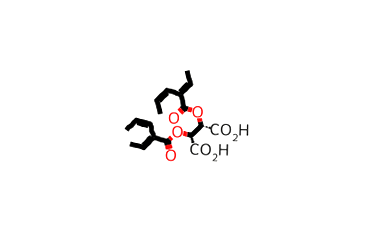 C/C=C\C(=C/C)C(=O)O[C@H](C(=O)O)[C@H](OC(=O)C(/C=C\C)=C/C)C(=O)O